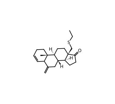 C=C1C[C@H]2[C@@H]3CCC(=O)[C@@]3(CSCC)CC[C@@H]2[C@@]2(C)CCC=CC12